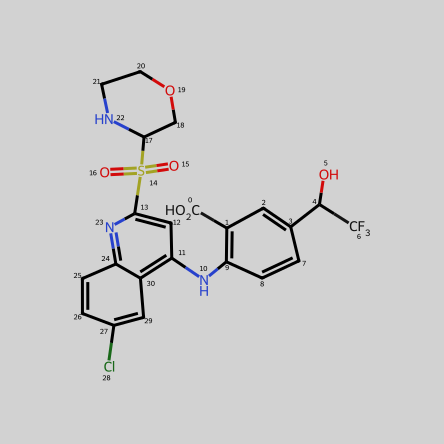 O=C(O)c1cc(C(O)C(F)(F)F)ccc1Nc1cc(S(=O)(=O)C2COCCN2)nc2ccc(Cl)cc12